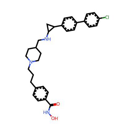 O=C(NO)c1ccc(CCCN2CCC(CNC3CC3c3ccc(-c4ccc(Cl)cc4)cc3)CC2)cc1